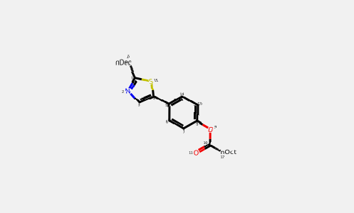 CCCCCCCCCCc1ncc(-c2ccc(OC(=O)CCCCCCCC)cc2)s1